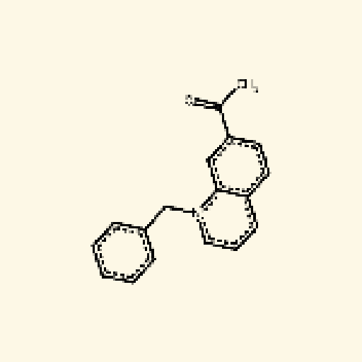 CC(=O)c1ccc2ccc[n+](Cc3ccccc3)c2c1